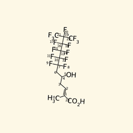 CC(=CCC(O)CC(F)(F)C(F)(F)C(F)(F)C(F)(F)C(F)(C(F)(F)F)C(F)(F)F)C(=O)O